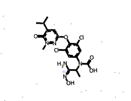 CC(C)c1cc(Oc2c(Cl)cc(N(C(=O)O)C(C)/C(N)=N\O)cc2Cl)nn(C)c1=O